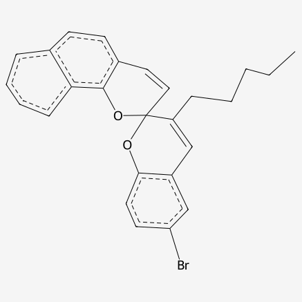 CCCCCC1=Cc2cc(Br)ccc2OC12C=Cc1ccc3ccccc3c1O2